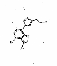 CCc1csc2c(-c3cnn(CCO)c3)cnc(N)c12